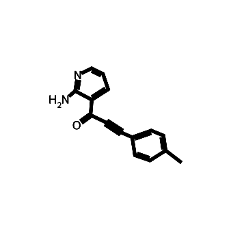 Cc1ccc(C#CC(=O)c2cccnc2N)cc1